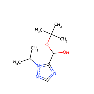 CC(C)n1ncnc1C(O)OC(C)(C)C